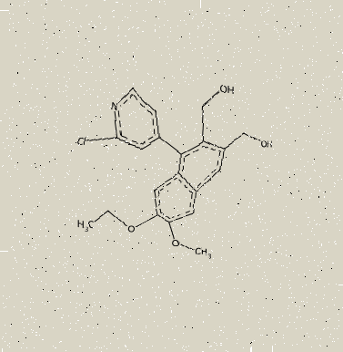 CCOc1cc2c(-c3ccnc(Cl)c3)c(CO)c(CO)cc2cc1OC